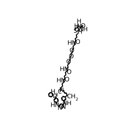 C=C(/C=C/CN(C)CCCCNC(=O)CCCC(=O)NCCCOCCOCCOCCCNC(=O)CCCC[C@@H]1SC[C@@H]2NC(=O)N[C@@H]21)c1cccc(Nc2cc(Nc3ccc(Oc4ccccc4)cc3)ncn2)c1